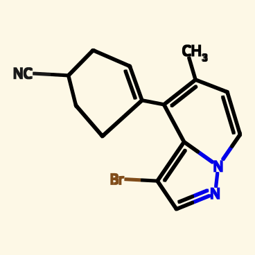 Cc1ccn2ncc(Br)c2c1C1=CCC(C#N)CC1